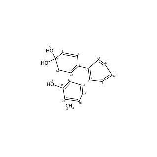 C.OC1(O)C=CC(c2ccccc2)=CC1.Oc1ccccc1